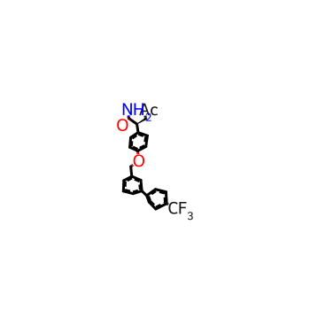 CC(=O)C[C@H](C(N)=O)c1ccc(OCc2cccc(-c3ccc(C(F)(F)F)cc3)c2)cc1